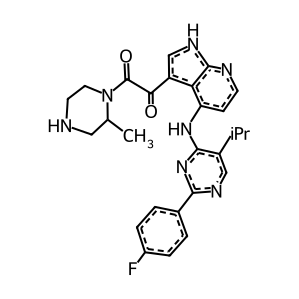 CC(C)c1cnc(-c2ccc(F)cc2)nc1Nc1ccnc2[nH]cc(C(=O)C(=O)N3CCNCC3C)c12